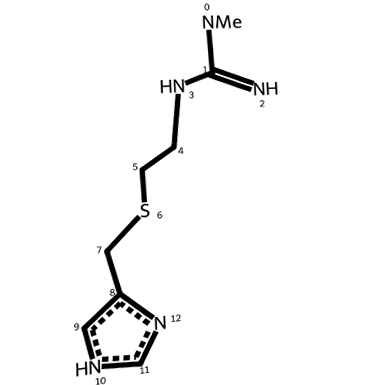 CNC(=N)NCCSCc1c[nH]cn1